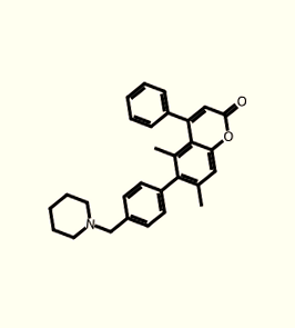 Cc1cc2oc(=O)cc(-c3ccccc3)c2c(C)c1-c1ccc(CN2CCCCC2)cc1